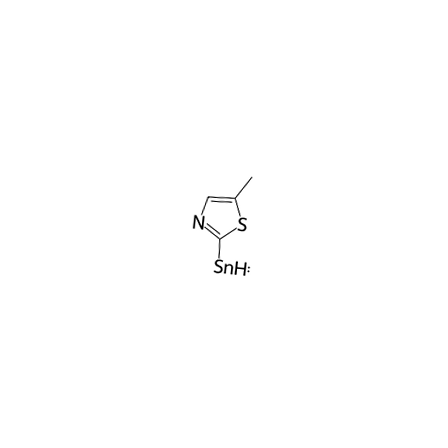 Cc1cn[c]([SnH])s1